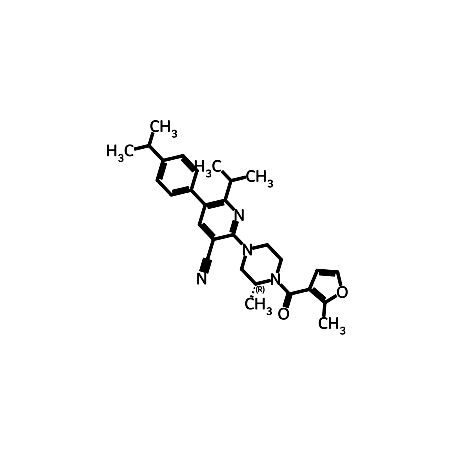 Cc1occc1C(=O)N1CCN(c2nc(C(C)C)c(-c3ccc(C(C)C)cc3)cc2C#N)C[C@H]1C